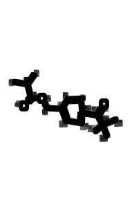 CC(C)C(=O)OCc1ccc(C(=O)C(C)(C)C)cc1